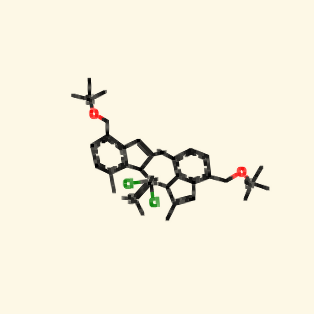 CC1=Cc2c(CO[Si](C)(C)C)ccc(C)c2[CH]1[Zr]([Cl])([Cl])([CH]1C(C)=Cc2c(CO[Si](C)(C)C)ccc(C)c21)=[Si](C)C